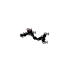 Cc1ncsc1-c1ccc(CNC(=O)[C@@H]2C[C@@H](O)CN2C(=O)C(NC(=O)COCCN2CCN(CCOc3ccc(C(=O)c4c(-c5ccc(O)cc5)sc5cc(O)ccc45)cc3)CC2)C(C)(C)C)cc1